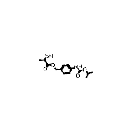 CC(C)OC(=O)Nc1ccc(COC(=O)C(C)S)cc1